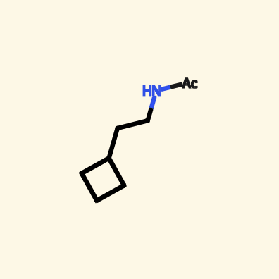 CC(=O)NCCC1CCC1